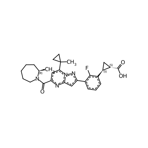 C[C@@H]1CCCCCN1C(=O)c1cc(C2(C)CC2)n2nc(-c3cccc([C@H]4C[C@@H]4C(=O)O)c3F)cc2n1